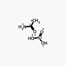 CC(N)=O.O=S(O)O